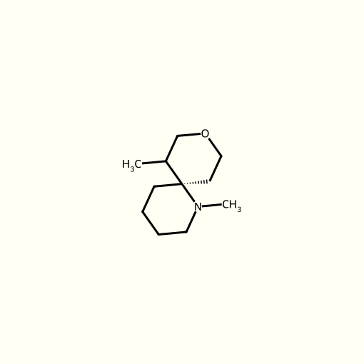 CC1COCC[C@]12CCCCN2C